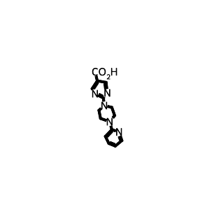 O=C(O)c1cnc(N2CCN(c3ccccn3)CC2)nc1